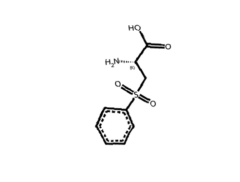 N[C@@H](CS(=O)(=O)c1ccccc1)C(=O)O